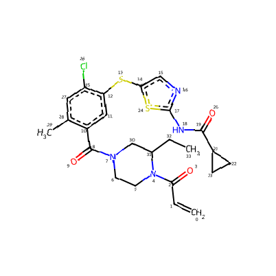 C=CC(=O)N1CCN(C(=O)c2cc(Sc3cnc(NC(=O)C4CC4)s3)c(Cl)cc2C)CC1CC